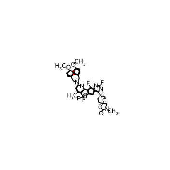 COc1ccc(CN(Cc2ccc(OC)cc2)c2cc(C)c(C(F)(F)F)c(-c3c(Cl)cc4c(N5CCC6(CC5)CN(C)C(=O)O6)nc(F)nc4c3F)n2)cc1